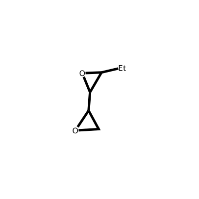 CCC1OC1C1CO1